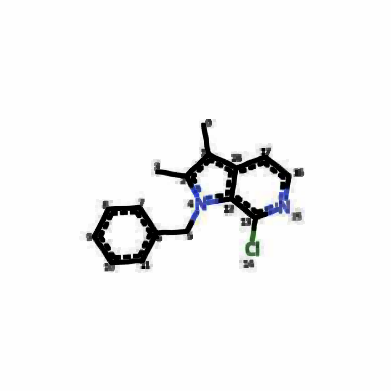 Cc1c(C)n(Cc2ccccc2)c2c(Cl)nccc12